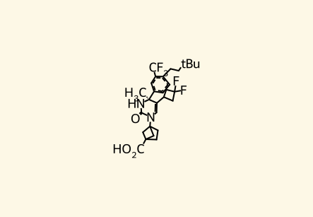 CC(C)(C)CCc1ccc([C@]2(C)NC(=O)N(C34CCC(C(=O)O)(C3)C4)C=C2C2CC(F)(F)C2)cc1C(F)(F)F